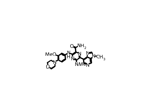 CNc1nc(Nc2ccc(N3CCOCC3)c(OC)c2)c(C(N)=O)nc1-c1cncc2c1ncn2C